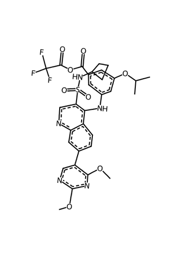 COc1ncc(-c2ccc3c(Nc4cc(OC(C)C)cc(C(=O)OC(=O)C(F)(F)F)c4)c(S(=O)(=O)NC4CCC4)cnc3c2)c(OC)n1